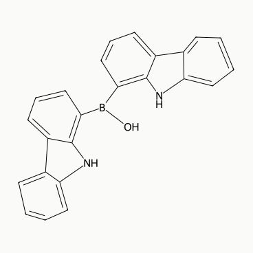 OB(c1cccc2c1[nH]c1ccccc12)c1cccc2c1[nH]c1ccccc12